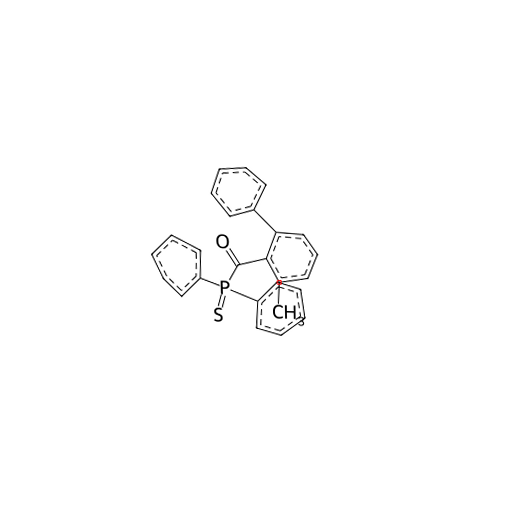 Cc1cccc(-c2ccccc2)c1C(=O)P(=S)(c1ccccc1)c1ccccc1